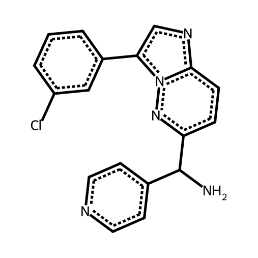 NC(c1ccncc1)c1ccc2ncc(-c3cccc(Cl)c3)n2n1